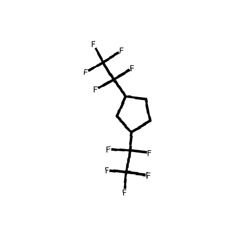 FC(F)(F)C(F)(F)C1CCC(C(F)(F)C(F)(F)F)C1